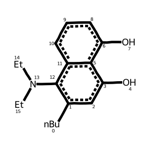 CCCCc1cc(O)c2c(O)cccc2c1N(CC)CC